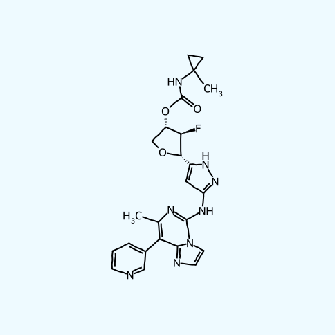 Cc1nc(Nc2cc([C@@H]3OC[C@H](OC(=O)NC4(C)CC4)[C@H]3F)[nH]n2)n2ccnc2c1-c1cccnc1